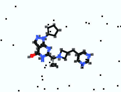 C[C@H](c1nc2c(cnn2C2CCCC2)c(=O)[nH]1)N1CC(Cc2cncnc2)C1